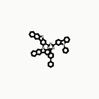 c1ccc(-c2ccc(-c3nc(-c4ccc5c6ccccc6n(-c6ccccc6)c5c4)nc(-c4cc5sc6cc7ccccc7cc6c5cc4-n4c5ccccc5c5cc6ccccc6cc54)n3)cc2)cc1